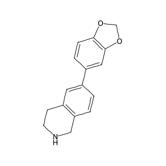 c1cc2c(cc1-c1ccc3c(c1)OCO3)CCNC2